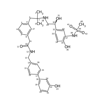 CC(C)(Cc1cccc(CC(=O)NCc2ccc(-c3cccc(O)c3)cc2)c1)NC[C@@H](O)c1ccc(O)c(NS(C)(=O)=O)c1